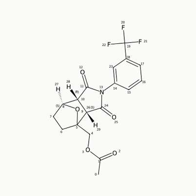 CC(=O)OCC12CC[C@H](O1)[C@@H]1C(=O)N(c3cccc(C(F)(F)F)c3)C(=O)[C@@H]12